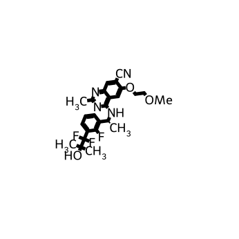 COCCOc1cc2c(N[C@H](C)c3cccc(C(F)(F)C(C)(C)O)c3F)nc(C)nc2cc1C#N